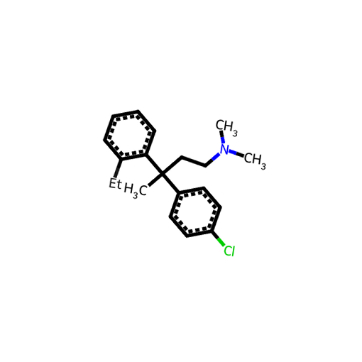 CCc1ccccc1C(C)(CCN(C)C)c1ccc(Cl)cc1